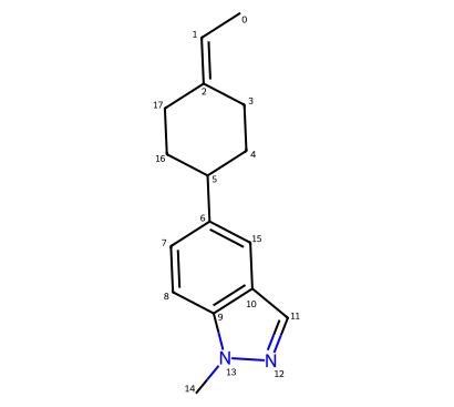 CC=C1CCC(c2ccc3c(cnn3C)c2)CC1